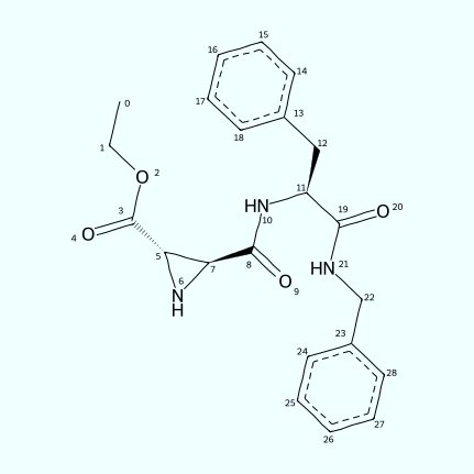 CCOC(=O)[C@H]1N[C@@H]1C(=O)N[C@@H](Cc1ccccc1)C(=O)NCc1ccccc1